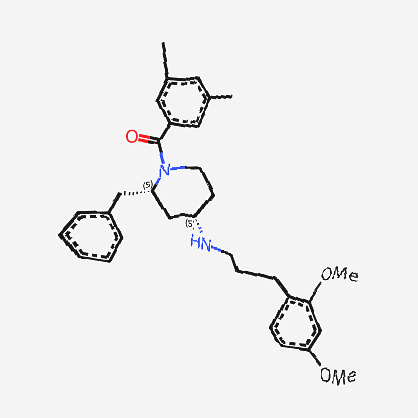 COc1ccc(CCCN[C@H]2CCN(C(=O)c3cc(C)cc(C)c3)[C@@H](Cc3ccccc3)C2)c(OC)c1